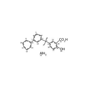 CC(C)(c1cccc(-c2ccccc2)c1)c1ccc(O)c(C(=O)O)c1.[AlH3]